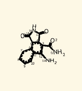 NC(=O)c1c2c(c3ccccc3c1N)C(=O)NC2=O